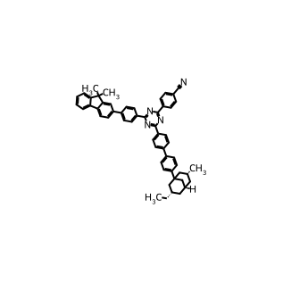 CC[C@H]1C[C@H]2C[C@@H](C)CC(c3ccc(-c4ccc(-c5nc(-c6ccc(C#N)cc6)nc(-c6ccc(-c7ccc8c(c7)C(C)(C)c7ccccc7-8)cc6)n5)cc4)cc3)(C2)C1